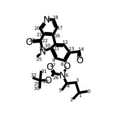 CC(C)CC(C)N(Oc1cc2c(cc1C=O)c1ccncc1c(=O)n2C)C(=O)OC(C)(C)C